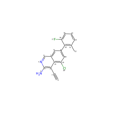 C#Cc1c(N)ncc2cc(-c3c(C)cccc3F)cc(Cl)c12